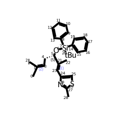 C/C(I)=C/C[C@H](O[Si](c1ccccc1)(c1ccccc1)C(C)(C)C)/C(C)=C/c1csc(C)n1